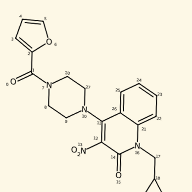 O=C(c1ccco1)N1CCN(c2c([N+](=O)[O-])c(=O)n(CC3CC3)c3ccccc23)CC1